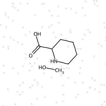 CO.O=C(O)C1CCCCN1